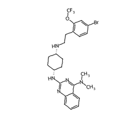 CN(C)c1nc(N[C@H]2CC[C@@H](NCCc3ccc(Br)cc3OC(F)(F)F)CC2)nc2ccccc12